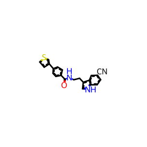 N#Cc1ccc2[nH]cc(CCNC(=O)c3ccc(-c4ccsc4)cc3)c2c1